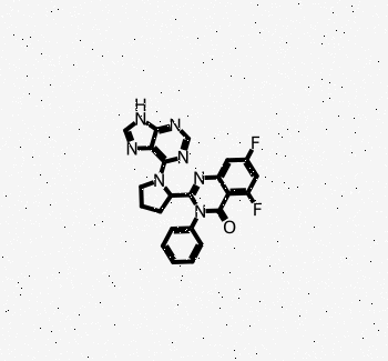 O=c1c2c(F)cc(F)cc2nc(C2CCCN2c2ncnc3[nH]cnc23)n1-c1ccccc1